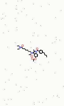 CCCCc1ccc(C(=O)n2c(C)c(N(CCCCCCC(=O)N(CC)CC)C(C)=O)c3cc(OC(C)=O)ccc32)cc1